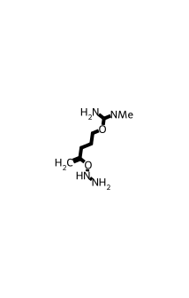 C=C(CCCOC(N)NC)ONN